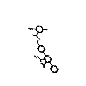 COc1ccc(F)cc1C(=O)NCc1ccc(-c2ncc(-c3cccnc3)c3[nH]nc(N)c23)cc1